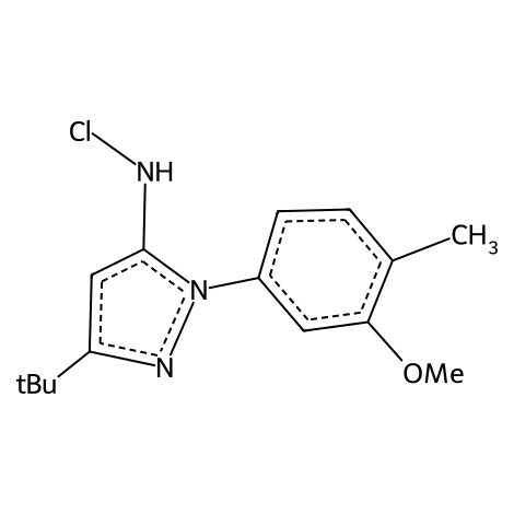 COc1cc(-n2nc(C(C)(C)C)cc2NCl)ccc1C